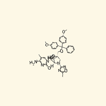 COc1ccc(C(OC[C@@]23CN(c4noc(C)n4)[C@@H]([C@H](n4cc(C)c(N)nc4=O)O2)[C@@H]3O)(c2ccccc2)c2ccc(OC)cc2)cc1